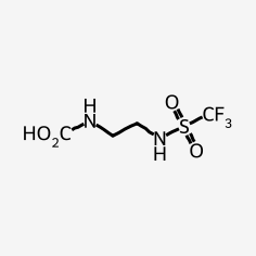 O=C(O)NCCNS(=O)(=O)C(F)(F)F